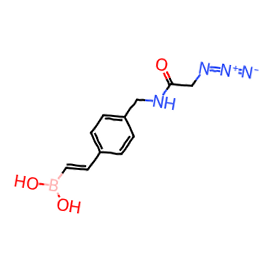 [N-]=[N+]=NCC(=O)NCc1ccc(/C=C/B(O)O)cc1